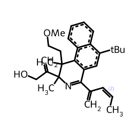 C=C(/C=C\C)C1=NC(C)(C(=C)CO)C(C)(CCOC)c2c1cc(C(C)(C)C)c1ccccc21